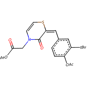 COC(=O)CN1C=CSC(=Cc2ccc(OC(C)=O)c(C(C)(C)C)c2)C1=O